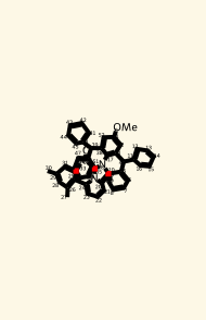 COc1cc(C(c2ccccc2)c2ccccc2)c(N2C=C3C=CC=C(c4c(C)cc(C)cc4C)N3[CH]2[Cu-][Cl])c(C(c2ccccc2)c2ccccc2)c1